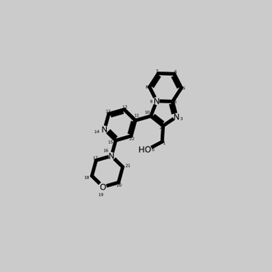 OCc1nc2ccccn2c1-c1ccnc(N2CCOCC2)c1